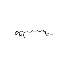 CCCCCCCC/C=C\CCCCCCCCC1(N)CO1